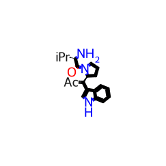 CC(=O)C(c1c[nH]c2ccccc12)[C@@H]1CCCN1C(=O)[C@@H](N)C(C)C